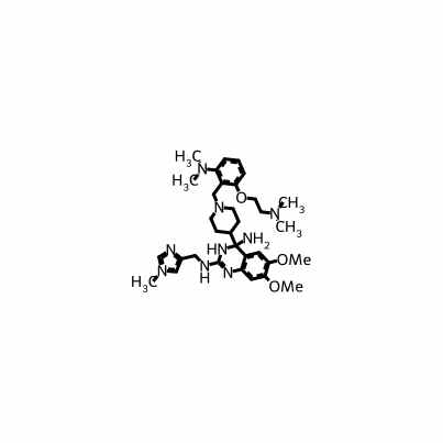 COc1cc2c(cc1OC)C(N)(C1CCN(Cc3c(OCCN(C)C)cccc3N(C)C)CC1)NC(NCc1cn(C)cn1)=N2